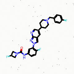 O=C(Nc1ccc(F)c(-n2cc3cc(C4CCN(Cc5ccc(F)cc5)CC4)cnc3n2)c1)N1CC(F)C1